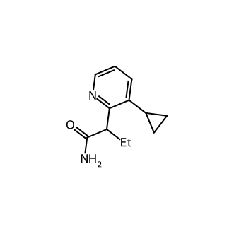 CCC(C(N)=O)c1ncccc1C1CC1